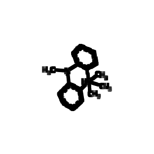 CN1c2ccccc2[SH](C)(C)(C)c2ccccc21